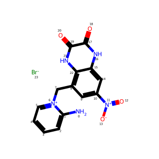 Nc1cccc[n+]1Cc1cc([N+](=O)[O-])cc2[nH]c(=O)c(=O)[nH]c12.[Br-]